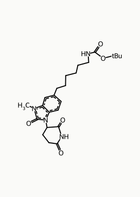 Cn1c(=O)n(C2CCC(=O)NC2=O)c2ccc(CCCCCCNC(=O)OC(C)(C)C)cc21